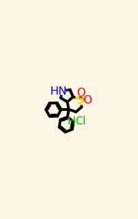 Cl.O=S1(=O)CCC(c2ccccc2)(c2ccccc2)C2CNCC21